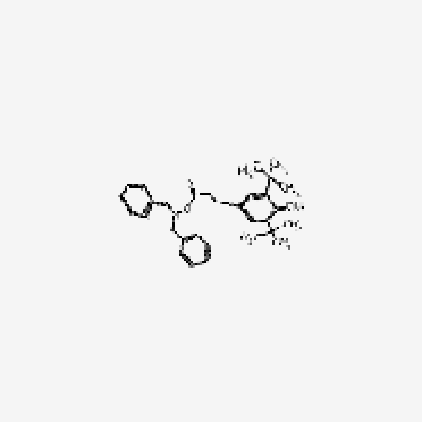 CC(C)(C)c1cc(CCC(=O)ON(Cc2ccccc2)Cc2ccccc2)cc(C(C)(C)C)c1O